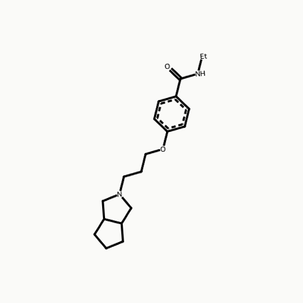 CCNC(=O)c1ccc(OCCCN2CC3CCCC3C2)cc1